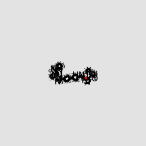 CN(C)C(=O)C(c1cccnc1)N1CCC[C@H]1c1ncc(-c2ccc(-c3ccc(-c4cnc([C@@H]5CCCN5C(=O)[C@@H](c5ccccc5)N(C)C)[nH]4)cc3)cc2)[nH]1